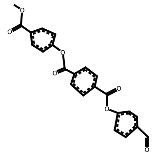 COC(=O)c1ccc(OC(=O)c2ccc(C(=O)Oc3ccc(C=O)cc3)cc2)cc1